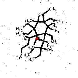 CCCC(C)C1(C)C(CC)(CC)C(C)(C)C(CC)(CC)C(C)(C)C1(CC)C(C)(CC)C(C)(CC)CC